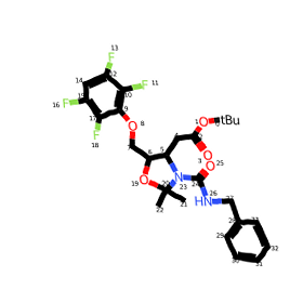 CC(C)(C)OC(=O)CC1C(COc2c(F)c(F)cc(F)c2F)OC(C)(C)N1C(=O)NCc1ccccc1